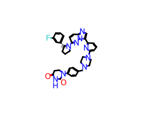 O=C1CCN(c2ccc(CN3CCN(c4cccc(-c5cnc6ccc(N7CCC[C@@H]7c7cccc(F)c7)nn56)n4)CC3)cc2)C(=O)N1